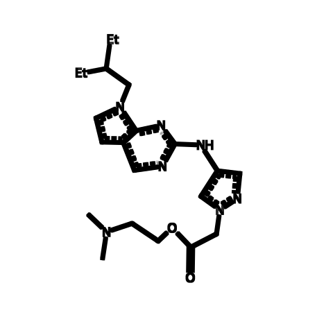 CCC(CC)Cn1ccc2cnc(Nc3cnn(CC(=O)OCCN(C)C)c3)nc21